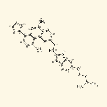 CN(C)CCOc1ccc2nc(NCc3ccc(C(N)=O)c(-c4cc(-c5cccs5)ccc4N)c3)sc2c1